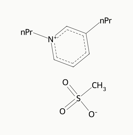 CCCc1ccc[n+](CCC)c1.CS(=O)(=O)[O-]